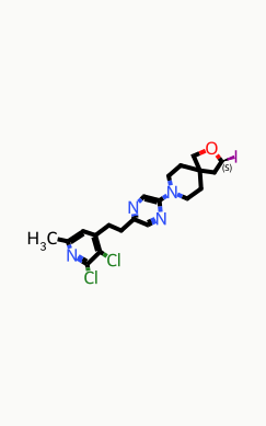 Cc1cc(CCc2cnc(N3CCC4(CC3)CO[C@@H](I)C4)cn2)c(Cl)c(Cl)n1